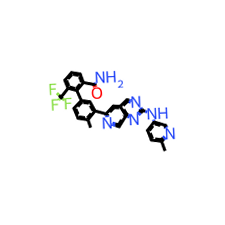 Cc1ccc(Nc2ncc3cc(-c4cc(-c5c(C(N)=O)cccc5C(F)(F)F)ccc4C)ncc3n2)cn1